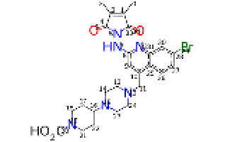 CC1=C(C)C(=O)N(Nc2cc(CN3CCN(C4CCN(C(=O)O)CC4)CC3)c3ccc(Br)cc3n2)C1=O